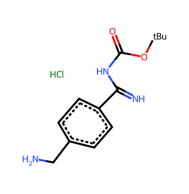 CC(C)(C)OC(=O)NC(=N)c1ccc(CN)cc1.Cl